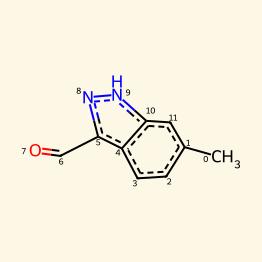 Cc1ccc2c(C=O)n[nH]c2c1